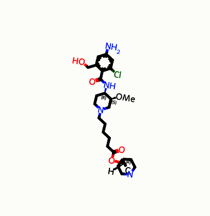 CO[C@H]1CN(CCCCCC(=O)O[C@H]2CN3CCC2CC3)CC[C@H]1NC(=O)c1c(Cl)cc(N)cc1CO